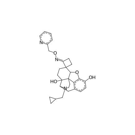 Oc1ccc2c3c1OC1C4(CCC4=NOCc4ccccn4)CCC4(O)C(C2)N(CC2CC2)CCC314